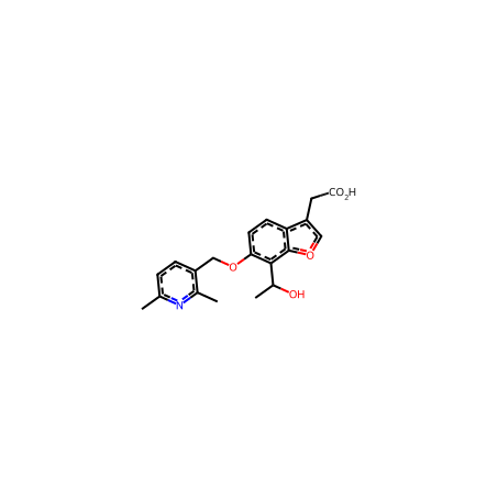 Cc1ccc(COc2ccc3c(CC(=O)O)coc3c2C(C)O)c(C)n1